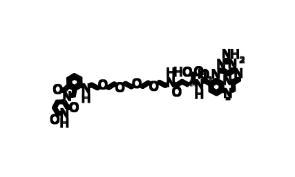 CN(Cc1cnc2nc(N)nc(N)c2n1)c1ccc(C(=O)N[C@@H](CCC(=O)NCCOCCOCCOCCOCCNc2cccc3c2CN(C2CCC(=O)NC2=O)C3=O)C(=O)O)cc1